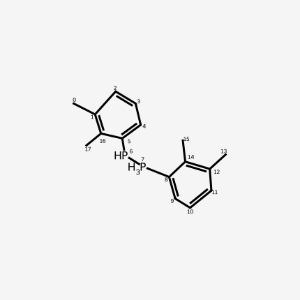 Cc1cccc(P[PH3]c2cccc(C)c2C)c1C